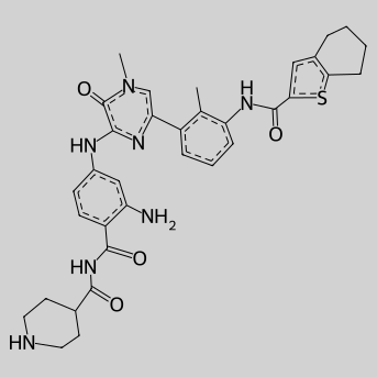 Cc1c(NC(=O)c2cc3c(s2)CCCC3)cccc1-c1cn(C)c(=O)c(Nc2ccc(C(=O)NC(=O)C3CCNCC3)c(N)c2)n1